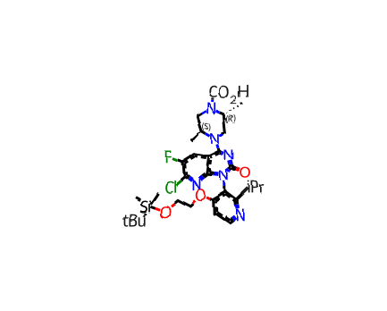 CC(C)c1nccc(OCCO[Si](C)(C)C(C)(C)C)c1-n1c(=O)nc(N2C[C@@H](C)N(C(=O)O)C[C@@H]2C)c2cc(F)c(Cl)nc21